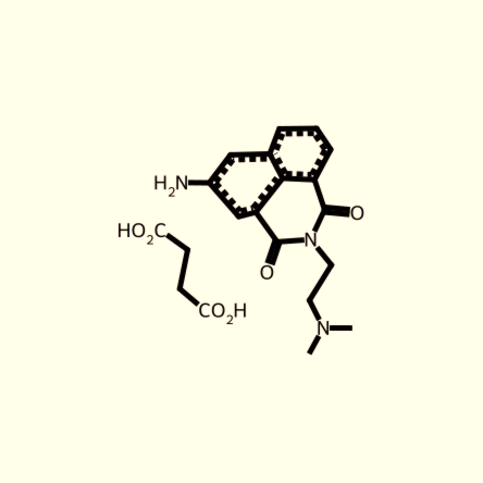 CN(C)CCN1C(=O)c2cccc3cc(N)cc(c23)C1=O.O=C(O)CCC(=O)O